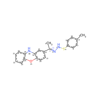 C/C(=N\NSc1ccc(C)cc1)c1ccc2c(c1)Nc1ccccc1O2